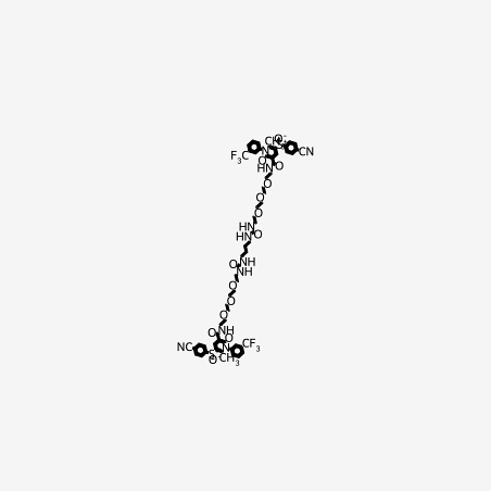 Cc1c([S+]([O-])c2ccc(C#N)cc2)cc(C(=O)NCCOCCOCCOCCNC(=O)NCCCCNC(=O)NCCOCCOCCOCCNC(=O)c2cc([S+]([O-])c3ccc(C#N)cc3)c(C)n(-c3cccc(C(F)(F)F)c3)c2=O)c(=O)n1-c1cccc(C(F)(F)F)c1